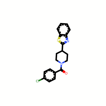 O=C(c1ccc(Cl)cc1)N1CCC(c2nc3ccccc3s2)CC1